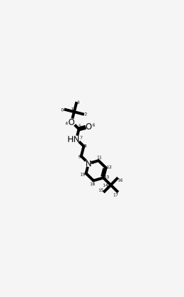 CC(C)(C)OC(=O)NCCN1CC=C(C(C)(C)C)CC1